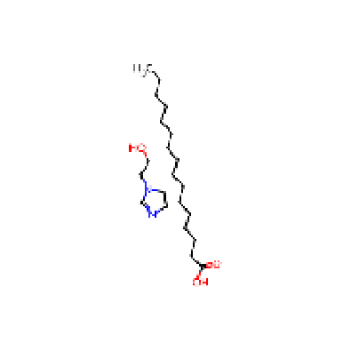 CCCCCCCCCCCCCCCC(=O)O.OCCN1C=NCC1